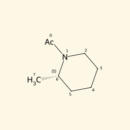 [CH2]C(=O)N1CCCC[C@@H]1C